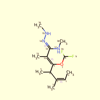 C/C=C(/C)C(C)/C(OC(F)F)=C(C)/C(=N/NC)NC